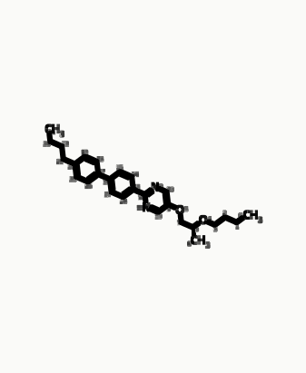 CCCCO[C@@H](C)COc1cnc(-c2ccc(-c3ccc(CCCC)cc3)cc2)nc1